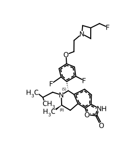 CC(C)CN1[C@H](c2c(F)cc(OCCN3CC(CF)C3)cc2F)c2ccc3[nH]c(=O)oc3c2C[C@H]1C